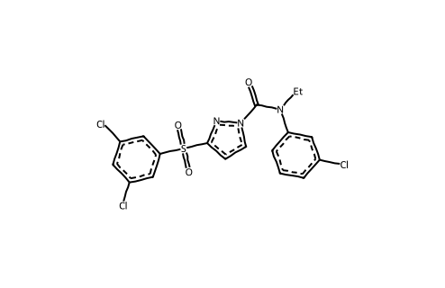 CCN(C(=O)n1ccc(S(=O)(=O)c2cc(Cl)cc(Cl)c2)n1)c1cccc(Cl)c1